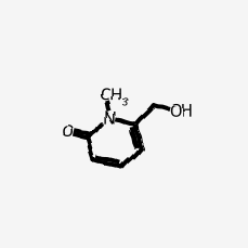 Cn1c(CO)cccc1=O